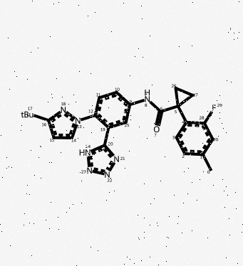 Cc1ccc(C2(C(=O)Nc3ccc(-n4ccc(C(C)(C)C)n4)c(-c4nnn[nH]4)c3)CC2)c(F)c1